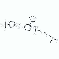 O=C(CCCCC[C@H](F)CF)Nc1ccc(NCc2ccc(C(F)(F)F)cc2)cc1N1CCCC1